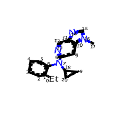 CCc1ccccc1N(c1cc2c(cn1)ncn2C)C1CC1